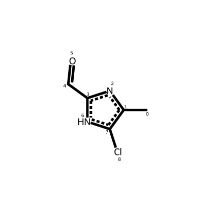 Cc1nc(C=O)[nH]c1Cl